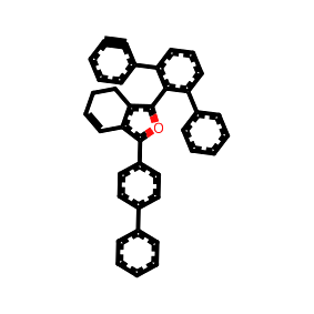 c1cccc(-c2cccc(-c3ccccc3)c2-c2oc(-c3ccc(-c4ccccc4)cc3)c3c2CCC=C3)c#1